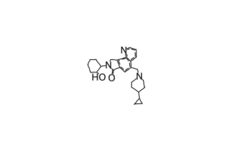 O=C1c2cc(CN3CCC(C4CC4)CC3)c3cccnc3c2CN1C1CCCCC1O